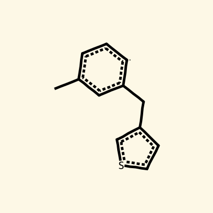 Cc1cc[c]c(Cc2ccsc2)c1